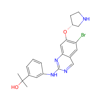 CC(C)(O)c1cccc(Nc2ncc3cc(Br)c(O[C@@H]4CCNC4)cc3n2)c1